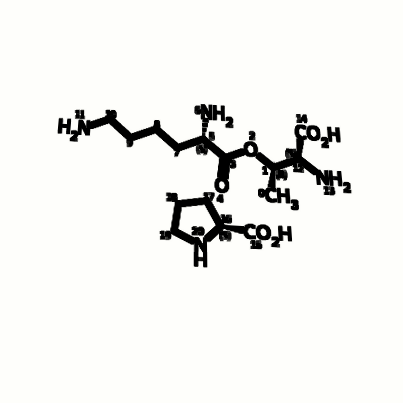 C[C@@H](OC(=O)[C@@H](N)CCCCN)[C@H](N)C(=O)O.O=C(O)[C@@H]1CCCN1